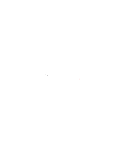 CC(=O)O.O=[C]=[Ni](=[C]=O)(=[C]=O)(=[C]=O)(=[C]=O)(=[C]=O)(=[C]=O)=[C]=O